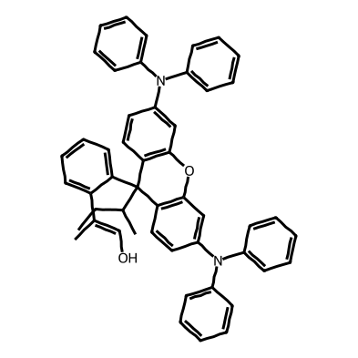 CCC(C)C1(c2ccccc2C(C)=CO)c2ccc(N(c3ccccc3)c3ccccc3)cc2Oc2cc(N(c3ccccc3)c3ccccc3)ccc21